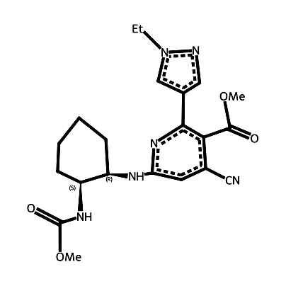 CCn1cc(-c2nc(N[C@@H]3CCCC[C@@H]3NC(=O)OC)cc(C#N)c2C(=O)OC)cn1